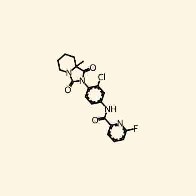 CC12CCCCN1C(=O)N(c1ccc(NC(=O)c3cccc(F)n3)cc1Cl)C2=O